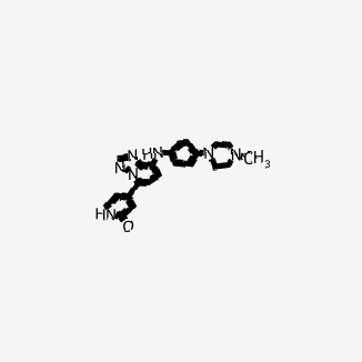 CN1CCN(c2ccc(Nc3ccc(-c4cc[nH]c(=O)c4)n4ncnc34)cc2)CC1